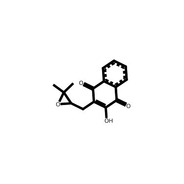 CC1(C)OC1CC1=C(O)C(=O)c2ccccc2C1=O